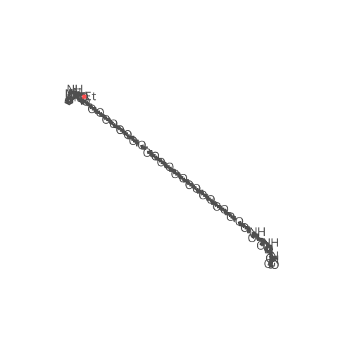 CCOCc1nc2c(N)nc3ccccc3c2n1CC(C)(C)OCCOCCOCCOCCOCCOCCOCCOCCOCCOCCOCCOCCOCCOCCOCCOCCOCCOCCOCCOCCOCCOCCOCCOCCNC(=O)CCCC(=O)Nc1ccc(-c2nnc(S(C)(=O)=O)o2)cc1